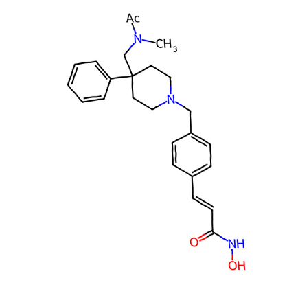 CC(=O)N(C)CC1(c2ccccc2)CCN(Cc2ccc(/C=C/C(=O)NO)cc2)CC1